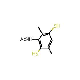 CC(=O)Nc1c(C)c(S)cc(C)c1S